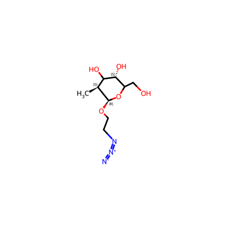 C[C@H]1C(O)[C@H](O)C(CO)O[C@H]1OCCN=[N+]=[N-]